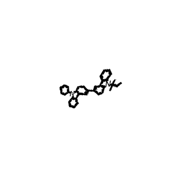 CCC(C)(C)n1c2ccccc2c2cc(-c3ccc4c(c3)c3ccccc3n4-c3ccccc3)ccc21